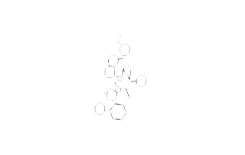 CCOC(=O)CN1C(=O)SC(=Cc2cccc(OC)c2OC)C1=O